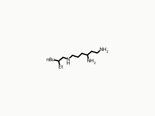 CCCCC(CC)CNCCCC(N)CCN